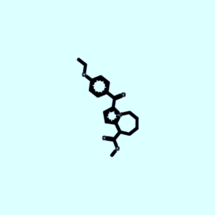 CCOc1ccc(C(=O)c2ccc3n2CCCCC3C(=O)OC)cc1